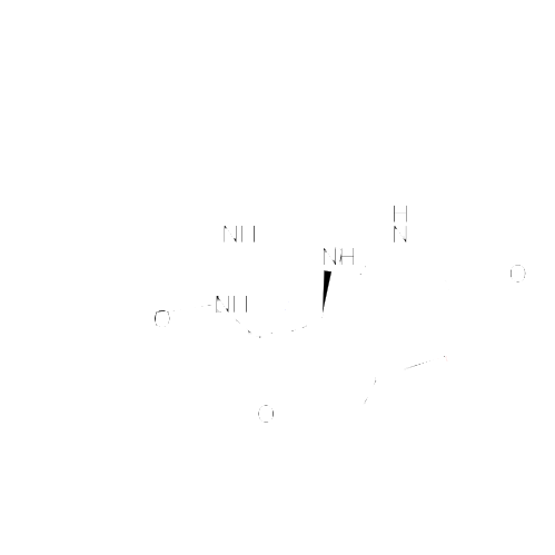 CCC(C)C1NC(=O)c2ccccc2/C1=C/C(=O)Nc1ccccc1-c1ccccc1NC(=O)[C@@H](N)C(C)C